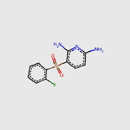 Nc1ccc(S(=O)(=O)c2ccccc2F)c(N)n1